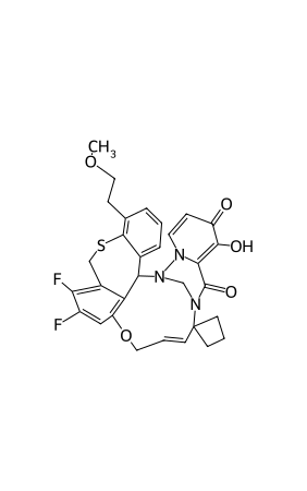 COCCc1cccc2c1SCc1c(F)c(F)cc3c1C2N1CN(C(=O)c2c(O)c(=O)ccn21)C1(/C=C/CO3)CCC1